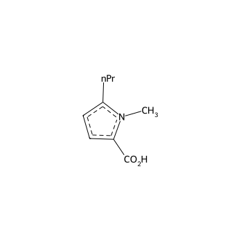 CCCc1ccc(C(=O)O)n1C